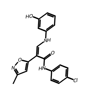 Cc1cc(C(=CNc2cccc(O)c2)C(=O)Nc2ccc(Cl)cc2)on1